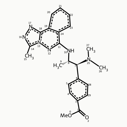 COC(=O)c1ccc([C@@H]([C@H](C)Nc2nn3c(C)nnc3c3ccccc23)N(C)C)cc1